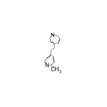 CC1C=CC(CCC2=CC=NCC=C2)=CC=N1